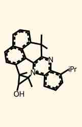 CC(C)c1cccc2c1nc1c3[n+]2C2(C)C(O)C2(C)c2ccc4cccc(c4c2-3)C1(C)C